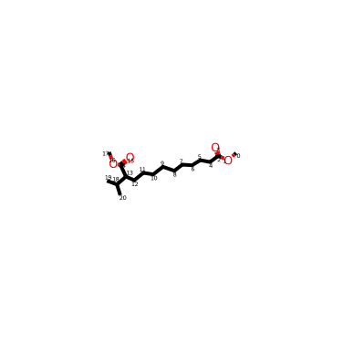 COC(=O)CCCCCCCCCC(C(=O)OC)C(C)C